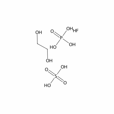 F.O=P(O)(O)O.O=S(=O)(O)O.OCCO